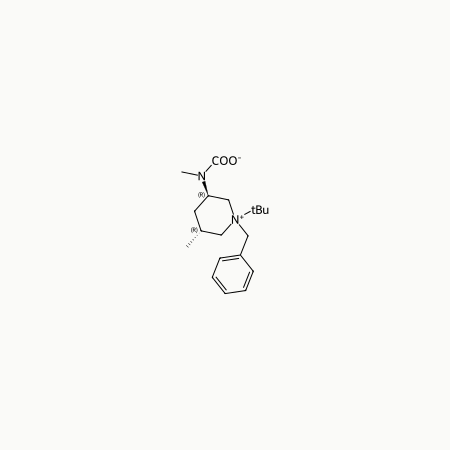 C[C@@H]1C[C@@H](N(C)C(=O)[O-])C[N+](Cc2ccccc2)(C(C)(C)C)C1